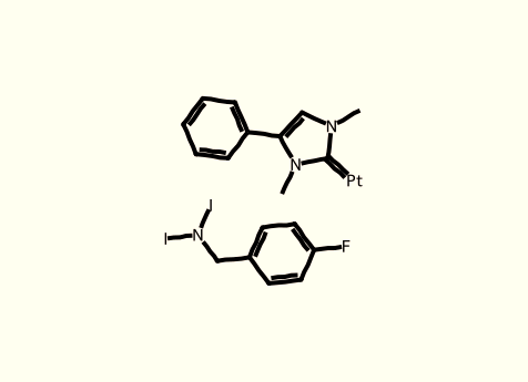 Cn1cc(-c2ccccc2)n(C)[c]1=[Pt].Fc1ccc(CN(I)I)cc1